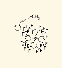 CCCCC[I+]c1ccccc1.FC(F)(F)c1cc([B-](c2cc(C(F)(F)F)cc(C(F)(F)F)c2)(c2cc(C(F)(F)F)cc(C(F)(F)F)c2)c2cc(C(F)(F)F)cc(C(F)(F)F)c2)cc(C(F)(F)F)c1